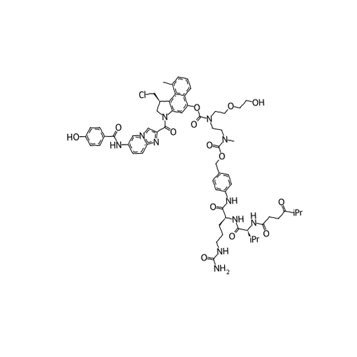 Cc1cccc2c(OC(=O)N(CCOCCO)CCN(C)C(=O)OCc3ccc(NC(=O)[C@H](CCCNC(N)=O)NC(=O)[C@@H](NC(=O)CCC(=O)C(C)C)C(C)C)cc3)cc3c(c12)[C@H](CCl)CN3C(=O)c1cn2cc(NC(=O)c3ccc(O)cc3)ccc2n1